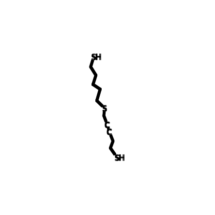 SCCCCCSCCCCCS